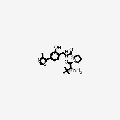 Cc1ncsc1-c1ccc(CNC(=O)[C@@H]2CCCN2C(=O)[C@@H](N)C(C)(C)C)c(O)c1